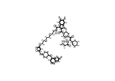 CN[C@@H](C)C(=O)N[C@H](C(=O)N1CCN(C(=O)c2c(C(=O)NCCOCCOCCOc3cc(CN4CCC(Oc5ccnc6cc(C)sc56)CC4)on3)c3cc(F)c(F)cc3n2C)C[C@H]1C)C1CCCCC1